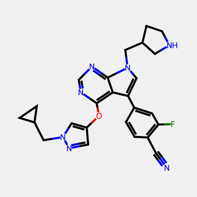 N#Cc1ccc(-c2cn(CC3CCNC3)c3ncnc(Oc4cnn(CC5CC5)c4)c23)cc1F